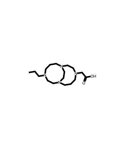 CCCN1CCCN2CCN(CCCN(CC(=O)O)CC2)CC1